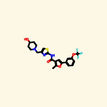 Cc1oc(-c2cccc(OC(F)(F)F)c2)cc1C(=O)Nc1nc(CN2CCC(O)CC2)cs1